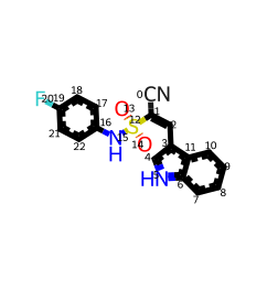 N#C/C(=C/c1c[nH]c2ccccc12)S(=O)(=O)Nc1ccc(F)cc1